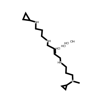 CN(CCCNCC=CCNCCCNC1CC1)C1CC1.Cl.Cl.Cl.Cl